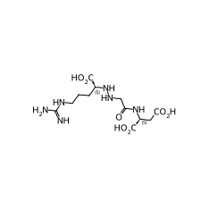 N=C(N)NCCC[C@H](NNCC(=O)N[C@@H](CC(=O)O)C(=O)O)C(=O)O